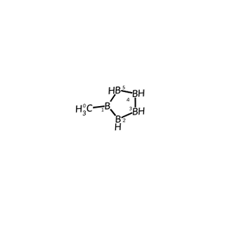 CB1BBBB1